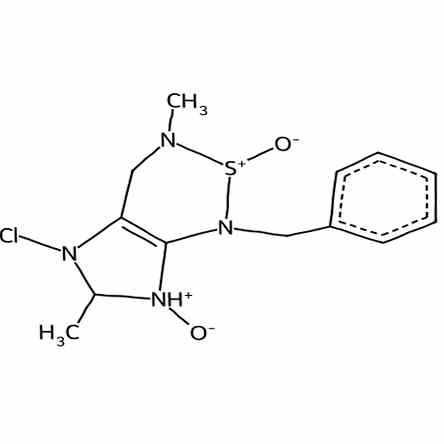 CC1N(Cl)C2=C(N(Cc3ccccc3)[S+]([O-])N(C)C2)[NH+]1[O-]